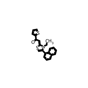 CCN1C(=CC(=O)c2cccs2)SC=C1c1cccc2ccccc12